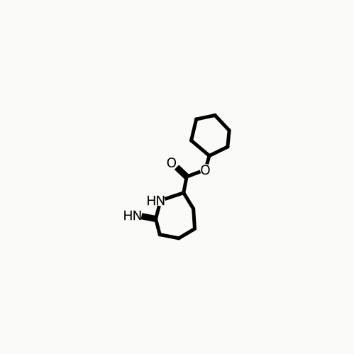 N=C1CCCCC(C(=O)OC2CCCCC2)N1